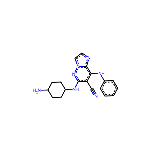 N#Cc1c(NC2CCC(N)CC2)nn2ccnc2c1Nc1ccccc1